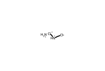 ClNCl.N